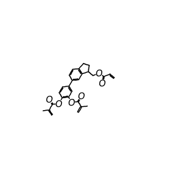 C=CC(=O)OCC1CCc2ccc(-c3ccc(OC(=O)C(=C)C)c(OC(=O)C(=C)C)c3)cc21